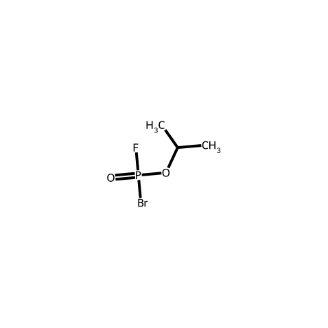 CC(C)OP(=O)(F)Br